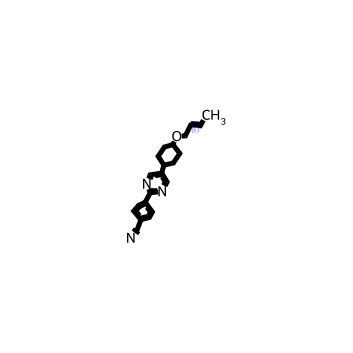 C/C=C/COC1CCC(c2cnc(-c3ccc(C#N)cc3)nc2)CC1